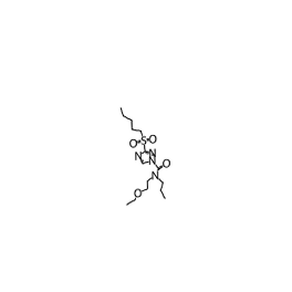 CCCCCS(=O)(=O)c1ncn(C(=O)N(CCC)CCOCC)n1